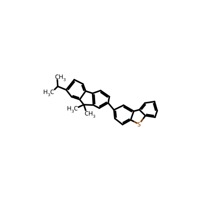 CC(C)c1ccc2c(c1)C(C)(C)c1cc(-c3ccc4sc5ccccc5c4c3)ccc1-2